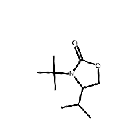 CC(C)C1COC(=O)N1C(C)(C)C